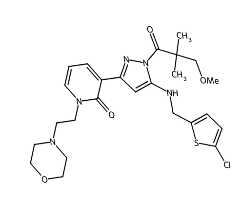 COCC(C)(C)C(=O)n1nc(-c2cccn(CCN3CCOCC3)c2=O)cc1NCc1ccc(Cl)s1